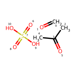 C=O.CC(C)=O.O=S(=O)(O)O